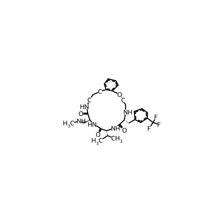 CNC[C@@H]1NC(=O)[C@@H](C(C)C)NC(=O)[C@@H](Cc2cccc(C(F)(F)F)c2)NCCOc2ccccc2CCCNC1=O